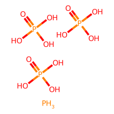 O=P(O)(O)O.O=P(O)(O)O.O=P(O)(O)O.P